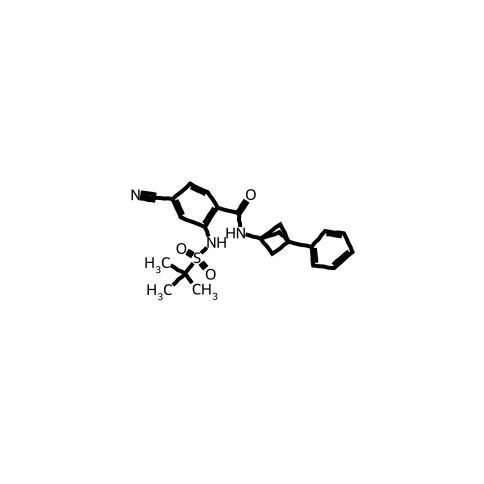 CC(C)(C)S(=O)(=O)Nc1cc(C#N)ccc1C(=O)NC12CC(c3ccccc3)(C1)C2